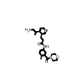 C/C(=C\N)c1ccncc1/C=C/C(=O)Nc1ccc(C)c(C(=O)N2CCOCC2)c1